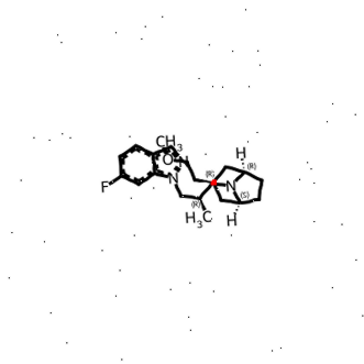 COCC[C@H]1C[C@H]2CC[C@@H](C1)N2C[C@@H](C)Cn1ncc2ccc(F)cc21